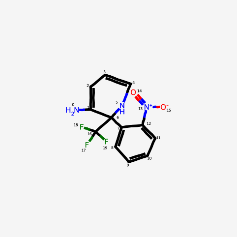 NC1=CC=CNC1(c1ccccc1[N+](=O)[O-])C(F)(F)F